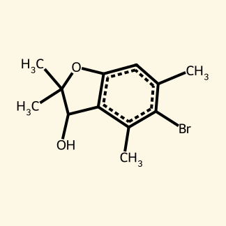 Cc1cc2c(c(C)c1Br)C(O)C(C)(C)O2